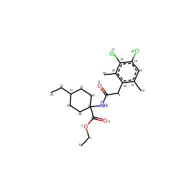 CCOC(=O)C1(NC(=O)Cc2c(C)cc(Cl)c(Cl)c2C)CCC(CC)CC1